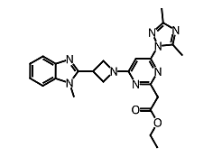 CCOC(=O)Cc1nc(N2CC(c3nc4ccccc4n3C)C2)cc(-n2nc(C)nc2C)n1